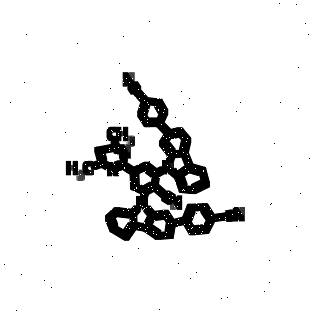 Cc1cc(C)nc(-c2cc(-n3c4ccccc4c4ccc(-c5ccc(C#N)cc5)cc43)c(C#N)c(-n3c4ccccc4c4ccc(-c5ccc(C#N)cc5)cc43)c2)n1